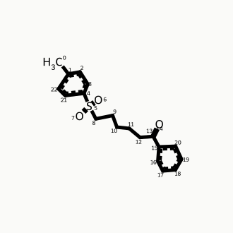 Cc1ccc(S(=O)(=O)CCCCCC(=O)c2ccccc2)cc1